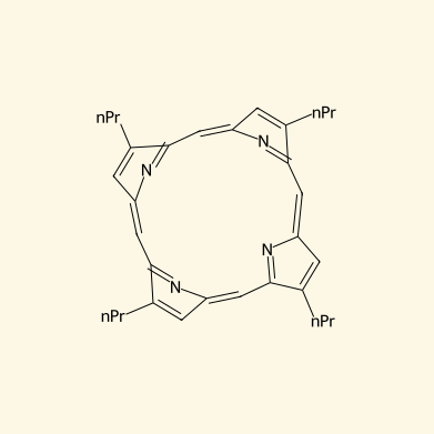 CCCC1=CC2=CC3=NC(=CC4=NC(=CC5=NC(=CC1=N2)C=C5CCC)C=C4CCC)C=C3CCC